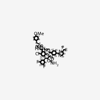 COc1ccc(CCS(=O)(=O)Nc2nn(C)c3c(-n4c(C(Cc5cc(F)cc(F)c5)OC(N)=O)nc5cc(-c6nccc(C(F)F)n6)ccc5c4=O)ccc(Cl)c23)cc1